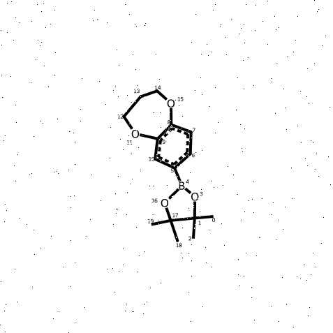 CC1(C)OB(c2ccc3c(c2)OCCCO3)OC1(C)C